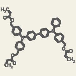 C=CC(=O)OCc1ccc(N(c2ccccc2)c2ccc(-c3ccc(N(c4ccc(COC(=O)C=C)cc4)c4ccc(COC(=O)C=C)cc4)cc3)cc2)cc1